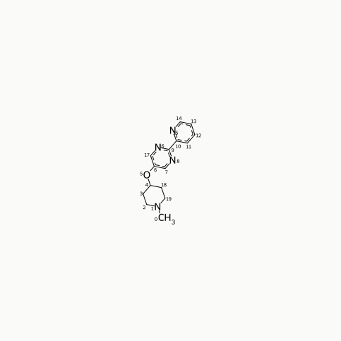 CN1CCC(Oc2cnc(-c3ccccn3)nc2)CC1